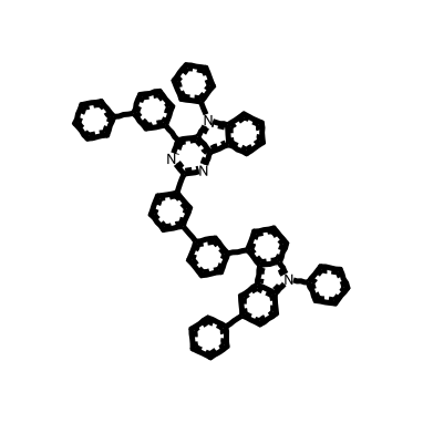 c1ccc(-c2cccc(-c3nc(-c4cccc(-c5cccc(-c6cccc7c6c6cc(-c8ccccc8)ccc6n7-c6ccccc6)c5)c4)nc4c5ccccc5n(-c5ccccc5)c34)c2)cc1